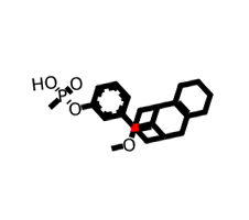 CO/C(=C1\C2CCCC1C1=C(CCCC1)C2)c1cccc(OP(C)(=O)O)c1